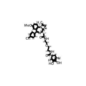 COc1ccc2c(c1)C(c1ccc(Cl)cc1)=N[C@@H](CC(=O)NCCOCCNC(=O)[C@@H]1C[C@H]3C[C@@H]1[C@H](O)[C@@H]3O)c1nnc(C)n1-2